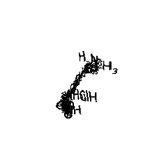 CC(N)c1cccc(OCCCCCOCCCOCCNc2cccc3c2CN(C2CCC(=O)NC2=O)C3=O)c1.Cl